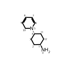 N[C@H]1CC[C@H](N2C=CC=CC2)CC1